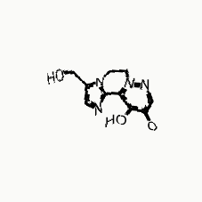 O=c1cnn2c(c1O)-c1ncc(CO)n1CC2